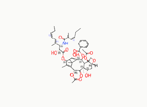 C=C(/C=C\CC)C(=O)N[C@@H](/C(C)=C/C=C\CC)[C@@H](O)C(=O)O[C@H]1C[C@@]2(O)[C@@H](OC(=O)c3ccccc3)C3[C@](C)(C(=O)[C@H](OC(C)=O)C(=C1C)C2(C)C)[C@@H](O)C[C@H]1OC[C@@]31OC(C)=O